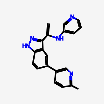 C=C(Nc1cccnc1)c1n[nH]c2ccc(-c3ccc(C)nc3)cc12